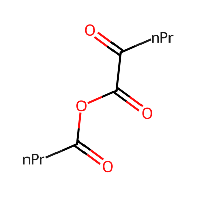 CCCC(=O)OC(=O)C(=O)CCC